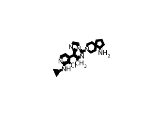 Cc1nc(N2CCC3(CCC[C@H]3N)CC2)n2ccnc2c1-c1ccnc(NC2CC2)c1Cl